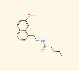 CCCCC(=O)NCCc1cccc2ccc(OC)cc12